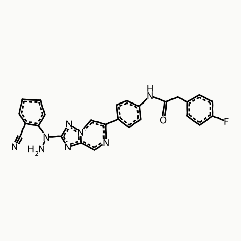 N#Cc1ccccc1N(N)c1nc2cnc(-c3ccc(NC(=O)Cc4ccc(F)cc4)cc3)cn2n1